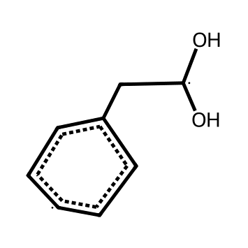 O[C](O)Cc1cc[c]cc1